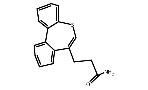 NC(=O)CCC1=CSc2ccccc2-c2ccccc21